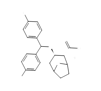 CCC(=O)[C@@H]1[C@H]2CCC(C[C@H]1OC(c1ccc(F)cc1)c1ccc(F)cc1)O2